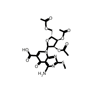 CSc1nc(N)c2c(=O)c(C(=O)O)cn(C3O[C@H](COC(C)=O)[C@@H](OC(C)=O)[C@H]3OC(C)=O)c2n1